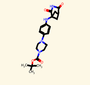 CC(C)(C)OC(=O)N1CCN(c2ccc(NC34CC(C3)C(=O)NC4=O)cc2)CC1